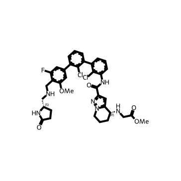 COC(=O)CN[C@@H]1CCCn2nc(C(=O)Nc3cccc(-c4cccc(-c5cc(F)c(CNC[C@@H]6CCC(=O)N6)c(OC)c5)c4Cl)c3Cl)cc21